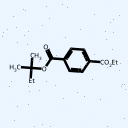 CCOC(=O)c1ccc(C(=O)OC(C)(C)CC)cc1